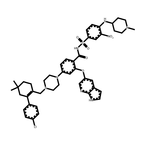 CN1CCC(Nc2ccc(S(=O)(=O)NC(=O)c3ccc(N4CCN(CC5=C(c6ccc(Cl)cc6)CC(C)(C)CC5)CC4)cc3Oc3cnc4[nH]ccc4c3)cc2[N+](=O)[O-])CC1